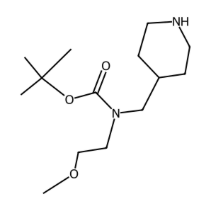 COCCN(CC1CCNCC1)C(=O)OC(C)(C)C